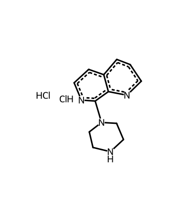 Cl.Cl.c1cnc2c(N3CCNCC3)nccc2c1